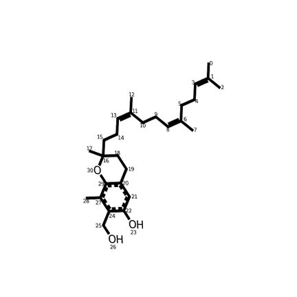 CC(C)=CCCC(C)=CCCC(C)=CCCC1(C)CCc2cc(O)c(CO)c(C)c2O1